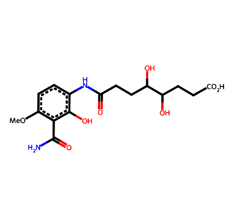 COc1ccc(NC(=O)CCC(O)C(O)CCC(=O)O)c(O)c1C(N)=O